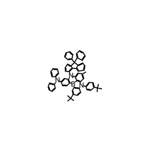 Cc1cc2c3c(c1)N(c1cccc4c1-c1ccccc1C4(c1ccccc1)c1ccccc1)c1cc(N(c4ccccc4)c4ccccc4)ccc1B3c1cc(C(C)(C)C)ccc1N2c1ccc(C(C)(C)C)cc1